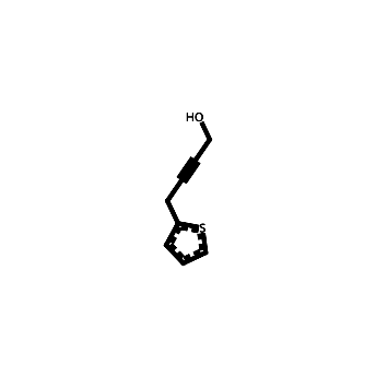 OCC#CCc1cccs1